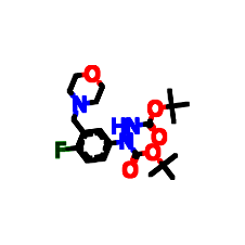 CC(C)(C)OC(=O)NN(C(=O)OC(C)(C)C)c1ccc(F)c(CN2CCOCC2)c1